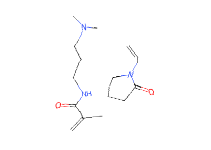 C=C(C)C(=O)NCCCN(C)C.C=CN1CCCC1=O